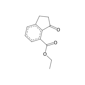 CCOC(=O)c1cccc2c1C(=O)CC2